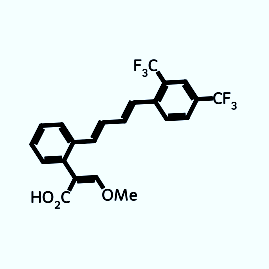 COC=C(C(=O)O)c1ccccc1C=CC=Cc1ccc(C(F)(F)F)cc1C(F)(F)F